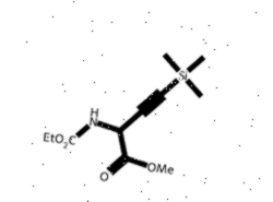 CCOC(=O)NC(C#C[Si](C)(C)C)C(=O)OC